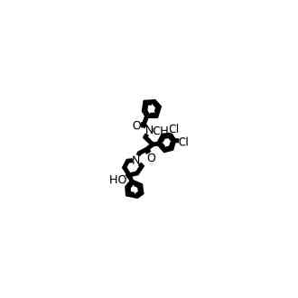 CN(CC(C(=O)CN1CCC(O)(c2ccccc2)CC1)c1ccc(Cl)c(Cl)c1)C(=O)c1ccccc1